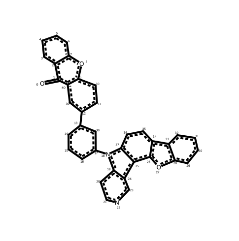 O=c1c2ccccc2oc2ccc(-c3cccc(-n4c5ccncc5c5c6oc7ccccc7c6ccc54)c3)cc12